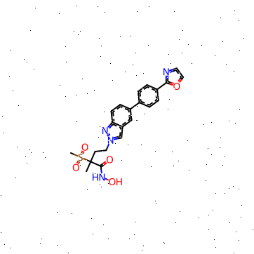 CC(CCn1cc2cc(-c3ccc(-c4ncco4)cc3)ccc2n1)(C(=O)NO)S(C)(=O)=O